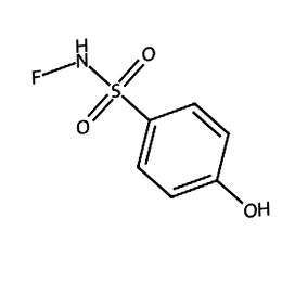 O=S(=O)(NF)c1ccc(O)cc1